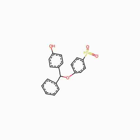 O=[SH](=O)c1ccc(OC(c2ccccc2)c2ccc(O)cc2)cc1